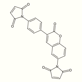 O=C1C=CC(=O)N1c1ccc(-c2cc3cc(N4C(=O)C=CC4=O)ccc3oc2=O)cc1